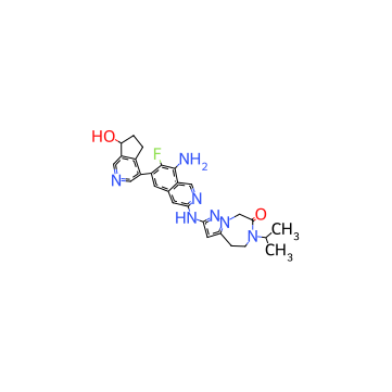 CC(C)N1CCc2cc(Nc3cc4cc(-c5cncc6c5CCC6O)c(F)c(N)c4cn3)nn2CC1=O